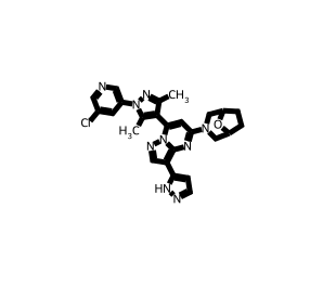 Cc1nn(-c2cncc(Cl)c2)c(C)c1-c1cc(N2CC3CCC(C2)O3)nc2c(-c3ccn[nH]3)cnn12